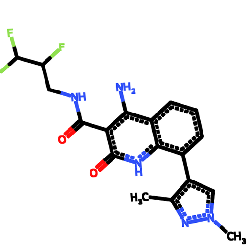 Cc1nn(C)cc1-c1cccc2c(N)c(C(=O)NCC(F)C(F)F)c(=O)[nH]c12